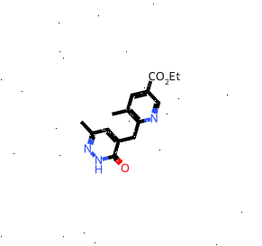 CCOC(=O)c1cnc(Cc2cc(C)n[nH]c2=O)c(C)c1